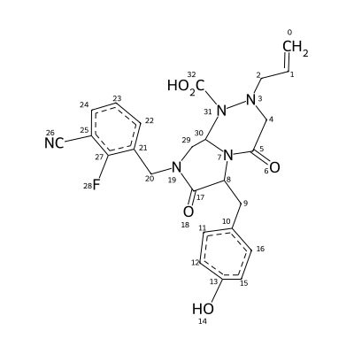 C=CCN1CC(=O)N2C(Cc3ccc(O)cc3)C(=O)N(Cc3cccc(C#N)c3F)CC2N1C(=O)O